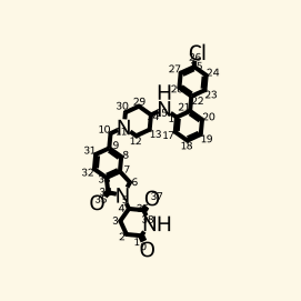 O=C1CCC(N2Cc3cc(CN4CCC(Nc5ccccc5-c5ccc(Cl)cc5)CC4)ccc3C2=O)C(=O)N1